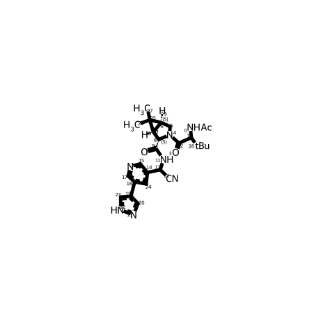 CC(=O)NC(C(=O)N1C[C@H]2[C@@H]([C@H]1C(=O)NC(C#N)c1cncc(-c3cn[nH]c3)c1)C2(C)C)C(C)(C)C